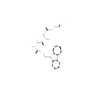 C=CCOC(=O)CN(C)C(=O)C(C(C)C)N(C)C(=O)OCC1c2ccccc2-c2ccccc21